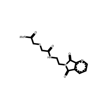 CNC(=O)CSCC(=O)NCCN1C(=O)c2cccnc2C1=O